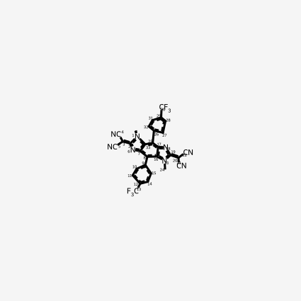 Cn1c(=C(C#N)C#N)nc2c(-c3ccc(C(F)(F)F)cc3)c3c(nc(=C(C#N)C#N)n3C)c(-c3ccc(C(F)(F)F)cc3)c21